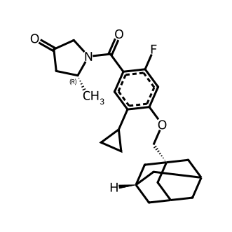 C[C@@H]1CC(=O)CN1C(=O)c1cc(C2CC2)c(OC[C@]23CC4CC(C[C@H](C4)C2)C3)cc1F